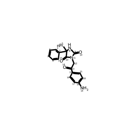 CCCC1(c2ccccc2)NC(=O)N(CC(=O)c2ccc(N)cc2)C1=O